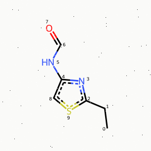 CCc1nc(NC=O)cs1